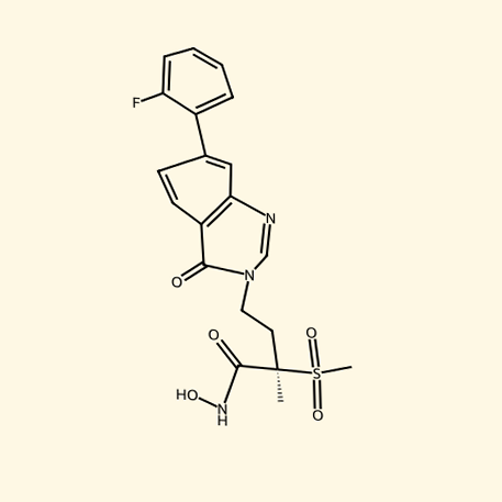 C[C@@](CCn1cnc2cc(-c3ccccc3F)ccc2c1=O)(C(=O)NO)S(C)(=O)=O